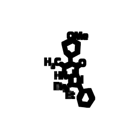 CCN(CC)c1c(-c2ccccc2)nn2c(=O)c(-c3ccc(OC)cc3)c(C)[nH]c12